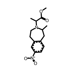 COC(=O)C(C)N1CCc2cc([N+](=O)[O-])ccc2CC1C